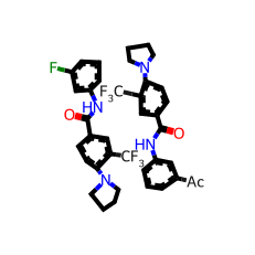 CC(=O)c1cccc(NC(=O)c2ccc(N3CCCC3)c(C(F)(F)F)c2)c1.O=C(Nc1cccc(F)c1)c1ccc(N2CCCC2)c(C(F)(F)F)c1